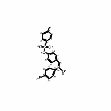 Cc1ccc(S(=O)(=O)Oc2ccc(/C=[N+](/[O-])c3ccc(F)cc3)cc2)cc1